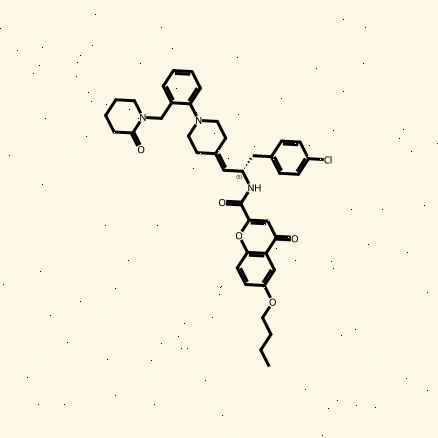 CCCCOc1ccc2oc(C(=O)N[C@H](C=C3CCN(c4ccccc4CN4CCCCC4=O)CC3)Cc3ccc(Cl)cc3)cc(=O)c2c1